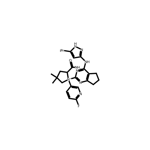 CC(C)c1cc(Nc2nc([N+]3(c4ccc(F)nc4)CC(C)(C)CC3C(N)=O)nc3c2CCC3)n[nH]1